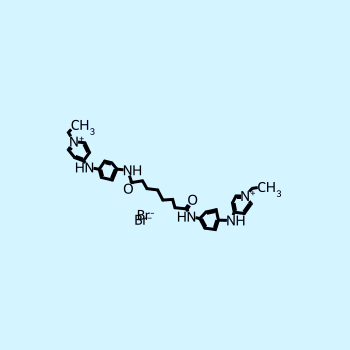 CC[n+]1ccc(Nc2ccc(NC(=O)CCCCCCC(=O)Nc3ccc(Nc4cc[n+](CC)cc4)cc3)cc2)cc1.[Br-].[Br-]